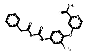 Cc1cc(NC(=O)NC(=O)Cc2ccccc2)ccc1Oc1ccnc(C(N)=O)c1